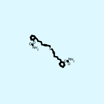 NC(=O)Oc1ccccc1CCCCC#CCSCC#CCCCCc1ccccc1OC(N)=O